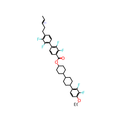 C/C=C/CCc1ccc(-c2ccc(C(=O)OC3CCC(C4CCC(c5ccc(OCC)c(F)c5F)CC4)CC3)c(F)c2F)c(F)c1F